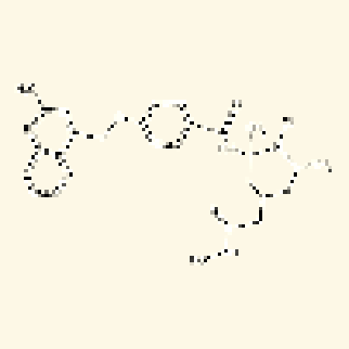 CCN1[C@H](C)C[C@@H](CC(=O)NO)C[C@@]1(C)NC(=O)c1ccc(OCc2cc(C)nc3ccccc23)cc1